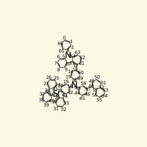 c1ccc(-n2c3ccccc3c3c(-c4ccc(N(c5ccc([Si](c6ccccc6)(c6ccccc6)c6ccccc6)cc5)c5cccc(-c6cccc7ccccc67)c5)cc4)cccc32)cc1